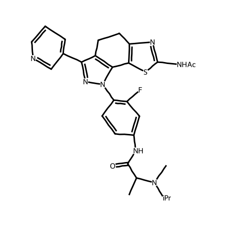 CC(=O)Nc1nc2c(s1)-c1c(c(-c3cccnc3)nn1-c1ccc(NC(=O)C(C)N(C)C(C)C)cc1F)CC2